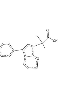 CC(C)(C(=O)O)c1cc(-c2ccccc2)c2cccoc1-2